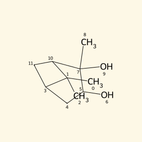 CC1(C)C2CC(O)C(C)(O)C1C2